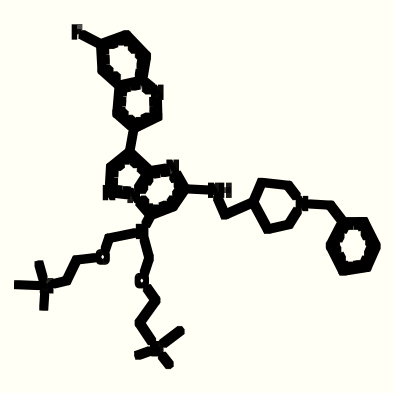 C[Si](C)(C)CCOCN(COCC[Si](C)(C)C)c1cc(NCC2CCN(Cc3ccccc3)CC2)nc2c(-c3cnc4ccc(F)cc4c3)cnn12